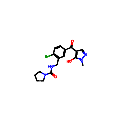 Cn1ncc(C(=O)c2ccc(Br)c(CNC(=O)N3CCCC3)c2)c1O